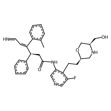 Cc1ccccc1/C(=C\C=N)[C@@H](CC(=O)Nc1cncc(F)c1CC[C@@H]1CN[C@H](CO)CO1)c1ccccc1